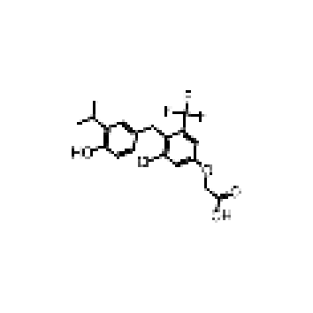 CC(C)c1cc(Cc2c(Cl)cc(OCC(=O)O)cc2C(F)(F)F)ccc1O